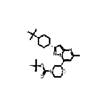 Cc1cc([C@@H]2CN(C(=O)OC(C)(C)C)CCO2)n2nc([C@H]3CC[C@H](C(C)(C)C)CC3)cc2n1